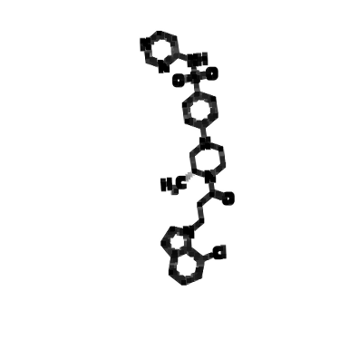 C[C@@H]1CN(c2ccc(S(=O)(=O)Nc3ccncn3)cc2)CCN1C(=O)CCn1ccc2cccc(Cl)c21